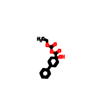 CCOC(=O)OC(=O)C1(O)C=CC(c2ccccc2)=CC1